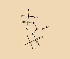 O=S(=O)(OB([O-])OS(=O)(=O)C(F)(F)C(F)(F)F)C(F)(F)C(F)(F)F.[Li+]